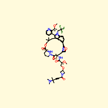 CO[C@@H](COC1CN(C(=O)C#CC(C)(C)N(C)C)C1)C(=O)N[C@@]1(SC)Cc2coc(n2)-c2ccc3c(c2)c(c(-c2cccnc2[C@H](C)OC)n3CC(F)(F)F)CC(C)(C)COC(=O)[C@@]2(S)CCCN(N2)C1=O